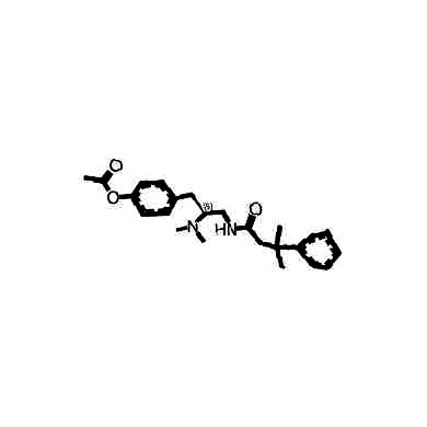 CC(=O)Oc1ccc(C[C@@H](CNC(=O)CC(C)(C)c2ccccc2)N(C)C)cc1